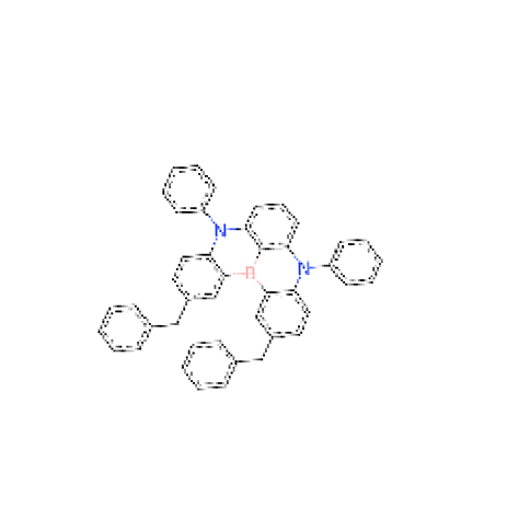 c1ccc(Cc2ccc3c(c2)B2c4cc(Cc5ccccc5)ccc4N(c4ccccc4)c4cccc(c42)N3c2ccccc2)cc1